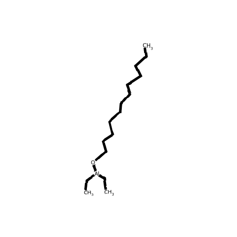 CCCCCCCCCCCC[O][Al]([CH2]C)[CH2]C